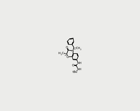 C[C@@H]1Oc2cc(NC(=O)NC(C)(C)C)ccc2N([C@@H](C)c2ccccc2)C1=O